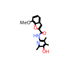 COc1cccc2cc(C(=O)Nc3nc(C)c(O)c(C)c3C)oc12